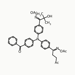 CC(=O)CCC(=NOC(C)=O)c1ccc(N(c2ccc(C(=O)c3ccccc3)cc2)c2ccc(/C(=N/OC(C)=O)C(C)(C)O)cc2)cc1